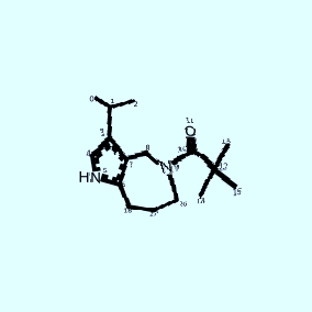 CC(C)c1c[nH]c2c1CN(C(=O)C(C)(C)C)CCC2